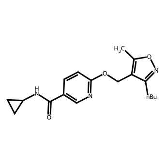 CCCCc1noc(C)c1COc1ccc(C(=O)NC2CC2)cn1